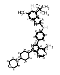 Cc1cc(C(C)(C)C)c2oc(Nc3ccc(-c4nn(C5CCC(N6CCOCC6)CC5)c5ncnc(N)c45)cc3)nc2c1